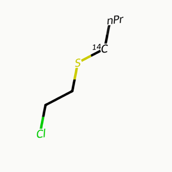 CC[14CH2][14CH2]SCCCl